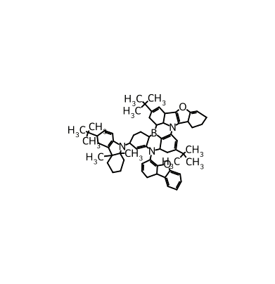 CC(C)(C)C1=CC2C3=C(C4CCCC=C4O3)N3C4=C5B(C6CCC(N7C8=C(CC(C(C)(C)C)C=C8)C8(C)CCCCC78C)C=C6N(C6=C7Oc8ccccc8C7CC=C6)C5CC(C(C)(C)C)=C4)C(C1)C23